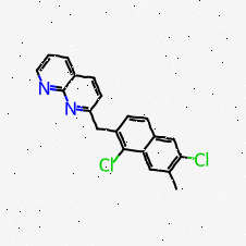 Cc1cc2c(Cl)c(Cc3ccc4cccnc4n3)ccc2cc1Cl